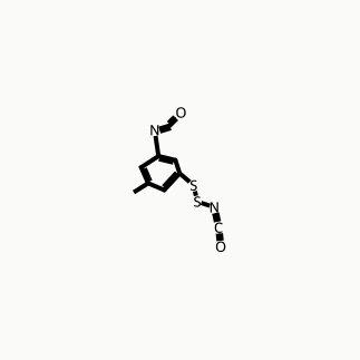 Cc1cc(N=C=O)cc(SSN=C=O)c1